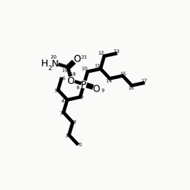 CCCCC(CC)CP(=O)(CC(CC)CCCC)OC(N)=O